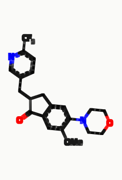 COc1cc2c(cc1N1CCOCC1)CC(Cc1ccc(C(F)(F)F)nc1)C2=O